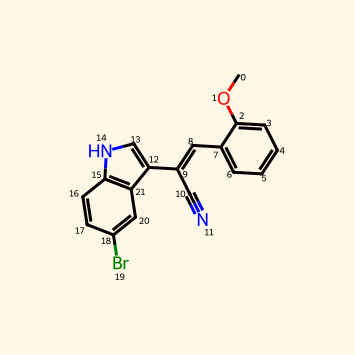 COc1ccccc1C=C(C#N)c1c[nH]c2ccc(Br)cc12